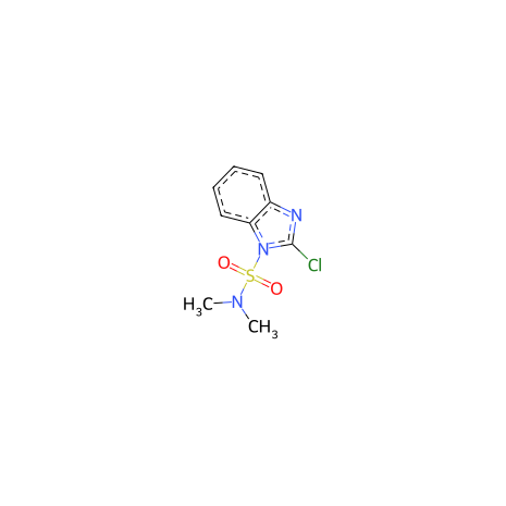 CN(C)S(=O)(=O)n1c(Cl)nc2ccccc21